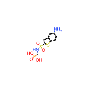 Nc1ccc2sc(S(=O)(=O)NCP(=O)(O)O)cc2c1